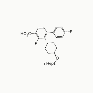 CCCCCCCO[C@H]1CC[C@H](c2c(-c3ccc(F)cc3)ccc(C(=O)O)c2F)CC1